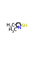 Cc1ccc(S)nc1C